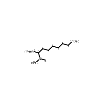 CCCCCCCCCCCCCCCCC(CCCCC)N(C)CCC